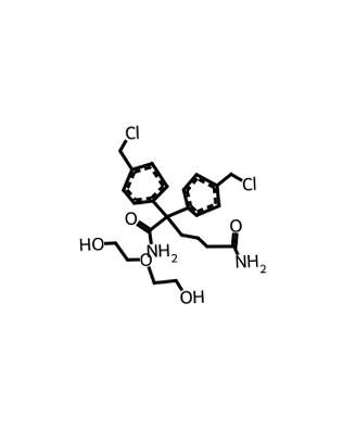 NC(=O)CCCC(C(N)=O)(c1ccc(CCl)cc1)c1ccc(CCl)cc1.OCCOCCO